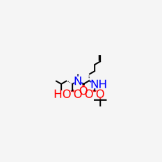 C=CCCC[C@H](NC(=O)OC(C)(C)C)C(=O)N(C)[C@@H](CC(C)C)C(=O)O